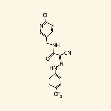 N#CC(=NNc1ccc(C(F)(F)F)cc1)C(=O)NCc1ccc(Cl)nc1